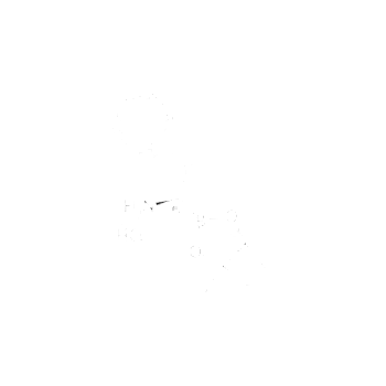 CC1(C)OB([C@@H](N)Cc2ccccc2)OC1(C)C.Cl